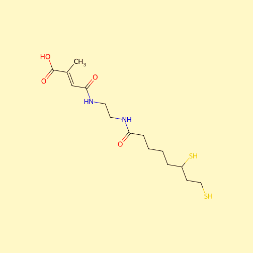 C/C(=C\C(=O)NCCNC(=O)CCCCC(S)CCS)C(=O)O